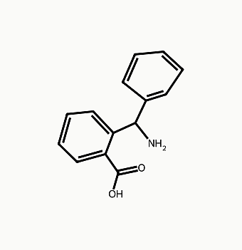 NC(c1ccccc1)c1ccccc1C(=O)O